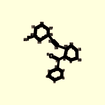 O=C(c1ccccc1)c1ccccc1C#Cc1cccc(F)c1